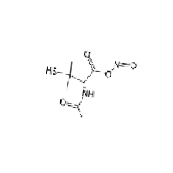 CC(=O)N[C@@H](C(=O)ON=O)C(C)(C)S